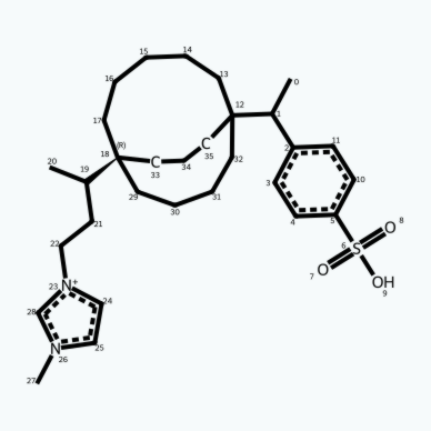 CC(c1ccc(S(=O)(=O)O)cc1)C12CCCCC[C@@](C(C)CC[n+]3ccn(C)c3)(CCCC1)CCC2